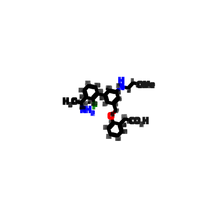 COCCNc1cc(COc2ccccc2CC(=O)O)cc(-c2cccc(C(C)N)c2F)c1